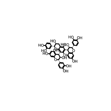 Oc1ccc2c(c1)O[C@@H](c1ccc(O)c(O)c1)[C@H](O)[C@@H]2c1c(O)c2c(c([C@H]3c4c(O)cc(O)cc4O[C@@H](c4ccc(O)c(O)c4)[C@@H]3O)c1O)O[C@H](c1ccc(O)c(O)c1)[C@@H](O)C2